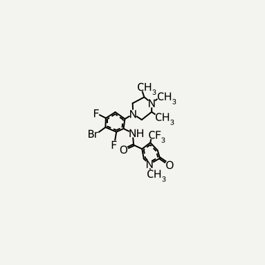 CC1CN(c2cc(F)c(Br)c(F)c2NC(=O)c2cn(C)c(=O)cc2C(F)(F)F)CC(C)N1C